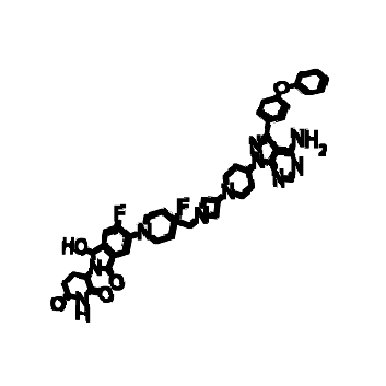 Nc1ncnc2c1c(-c1ccc(Oc3ccccc3)cc1)nn2C1CCN(C2CN(CC3(F)CCN(c4cc5c(cc4F)C(O)N(C4CCC(=O)NC4=O)C5=O)CC3)C2)CC1